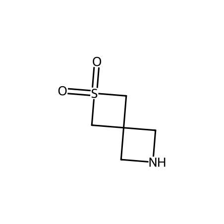 O=S1(=O)CC2(CNC2)C1